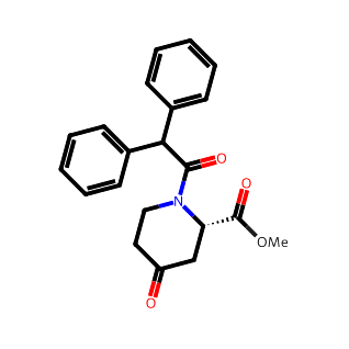 COC(=O)[C@@H]1CC(=O)CCN1C(=O)C(c1ccccc1)c1ccccc1